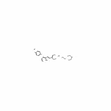 O=C(NCCN1CCC(O)CC1)N1CC=C(c2cc3c(Nc4ccc5ncsc5c4)ccnc3[nH]2)CC1